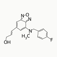 CN(Cc1ccc(F)cc1)c1cc(/C=C/CO)cc2nonc12